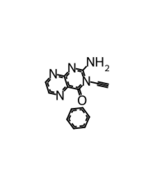 C#Cn1c(N)nc2nccnc2c1=O.c1ccccc1